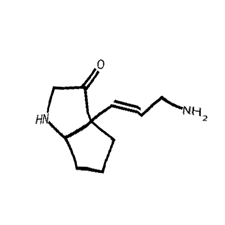 NCC=CC12CCCC1NCC2=O